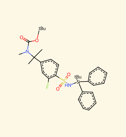 CN(C(=O)OC(C)(C)C)C(C)(C)c1ccc(S(=O)(=O)N[Si](c2ccccc2)(c2ccccc2)C(C)(C)C)c(F)c1